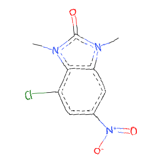 Cn1c(=O)n(C)c2c(Cl)cc([N+](=O)[O-])cc21